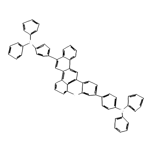 c1ccc(B(c2ccccc2)c2ccc(-c3cc4c5cccc6c5c(cc4c4ccccc34)-c3ccc(-c4ccc(N(c5ccccc5)c5ccccc5)cc4)cc3O6)cc2)cc1